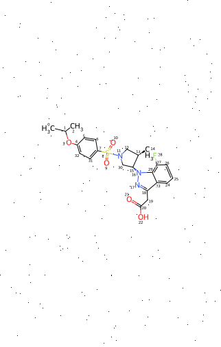 CC(C)Oc1ccc(S(=O)(=O)N2C[C@@H](C)[C@@H](n3nc(CC(=O)O)c4cccc(F)c43)C2)cc1